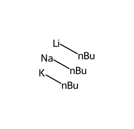 CCC[CH2][K].CCC[CH2][Na].[Li][CH2]CCC